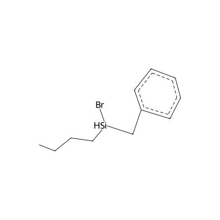 CCCC[SiH](Br)Cc1ccccc1